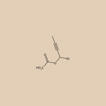 CC#CC(CC)OC(=O)C(=O)O